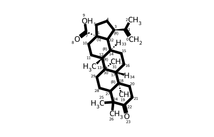 C=C(C)[C@@H]1CC[C@]2(C(=O)O)CC[C@]3(C)[C@H](CC[C@@H]4[C@@]5(C)CCC(=O)C(C)(C)C5CC[C@]43C)C12